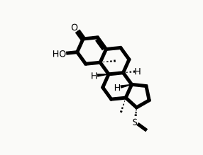 CS[C@H]1CC[C@H]2[C@@H]3CCC4=CC(=O)C(O)C[C@]4(C)[C@H]3CC[C@]12C